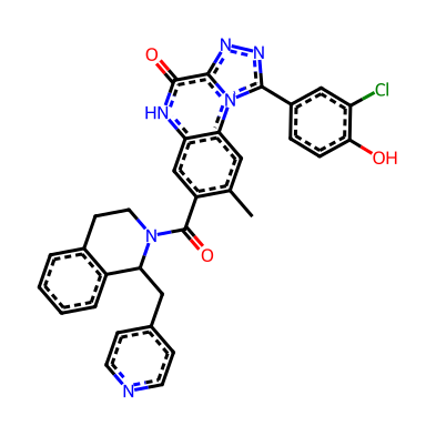 Cc1cc2c(cc1C(=O)N1CCc3ccccc3C1Cc1ccncc1)[nH]c(=O)c1nnc(-c3ccc(O)c(Cl)c3)n12